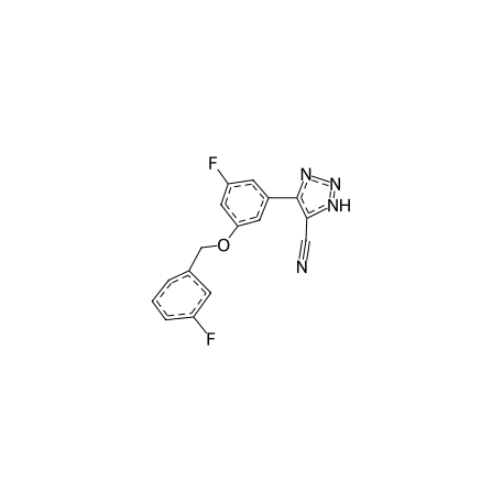 N#Cc1[nH]nnc1-c1cc(F)cc(OCc2cccc(F)c2)c1